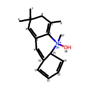 CC1=C2C(=CC(C)(C)C1)C=C1C=CC=CC1[N+]2(C)O